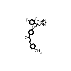 Cc1ccc(C=CC(=O)c2ccc(OCC(O)(Cn3cncn3)c3ccc(F)cc3F)cc2)cc1